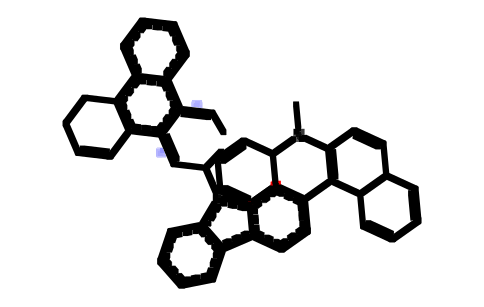 C/C=c1\c(=C/C(C)n2c3ccccc3c3ccc(C4=C(N(C)C5C=CC=CC5)C=CC5C=CC=CC45)cc32)c2c(c3ccccc13)CCC=C2